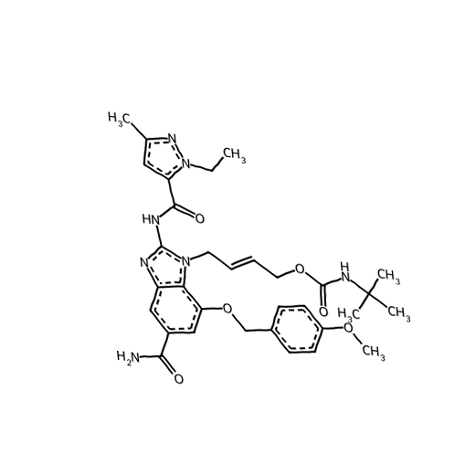 CCn1nc(C)cc1C(=O)Nc1nc2cc(C(N)=O)cc(OCc3ccc(OC)cc3)c2n1C/C=C/COC(=O)NC(C)(C)C